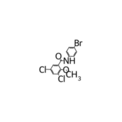 COc1c(Cl)cc(Cl)cc1C(=O)Nc1ccc(Br)cc1